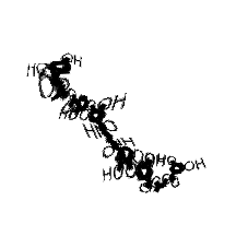 CC(COC(=O)c1cc(O)cc(O)c1)OC(=O)c1cc(O)cc(Oc2c(O)cc(C(=O)NCCNC(=O)c3cc(O)c(Oc4ccc(C(=O)OCC(C)OC(=O)c5ccc(O)cc5O)c(O)c4)c(O)c3)cc2O)c1